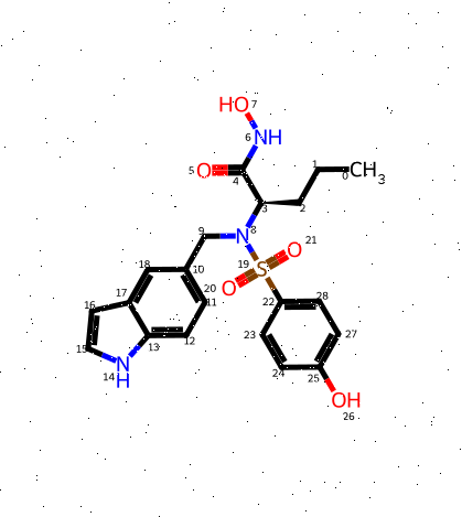 CCC[C@H](C(=O)NO)N(Cc1ccc2[nH]ccc2c1)S(=O)(=O)c1ccc(O)cc1